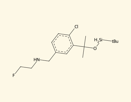 CC(C)(C)[SiH2]OC(C)(C)c1cc(CNCCF)ccc1Cl